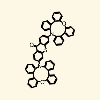 O=c1c2ccc(N3c4ccccc4-c4ccccc4Oc4ccccc4-c4ccccc43)cc2sc2cc(N3c4ccccc4-c4ccccc4Oc4ccccc4-c4ccccc43)ccc12